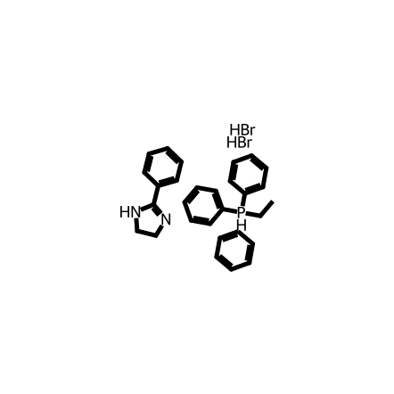 Br.Br.CC[PH](c1ccccc1)(c1ccccc1)c1ccccc1.c1ccc(C2=NCCN2)cc1